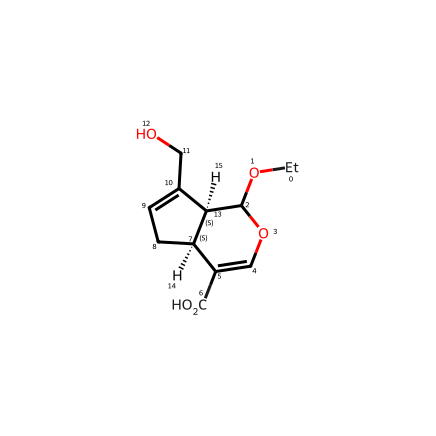 CCOC1OC=C(C(=O)O)[C@H]2CC=C(CO)[C@@H]12